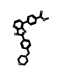 COC(=O)c1ccc(-c2ccnc3[nH]c(-c4ccc(CN5CCOCC5)cc4)nc23)cc1